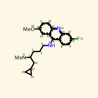 CNC(CCCNc1c2ccc(F)cc2nc2ccc(OC)cc12)CC1CC1